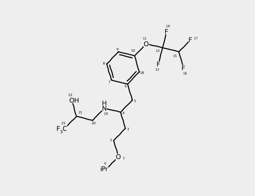 CC(C)OCCC(Cc1cccc(OC(F)(F)C(F)F)c1)NCC(O)C(F)(F)F